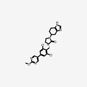 COc1ncc(-c2cc(Cl)c(C[C@@H]3CCN(C4CCc5[nH]cnc5C4)C3=O)c(Cl)c2)cn1